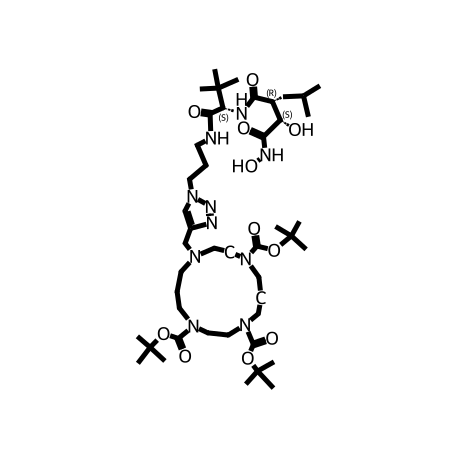 CC(C)C[C@@H](C(=O)N[C@H](C(=O)NCCCn1cc(CN2CCCN(C(=O)OC(C)(C)C)CCN(C(=O)OC(C)(C)C)CCCN(C(=O)OC(C)(C)C)CC2)nn1)C(C)(C)C)[C@H](O)C(=O)NO